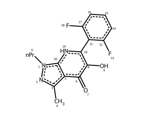 CCCn1nc(C)c2c(=O)c(O)c(-c3c(F)cccc3F)[nH]c21